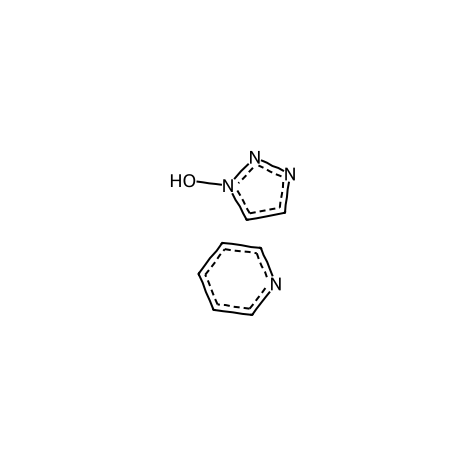 On1ccnn1.c1ccncc1